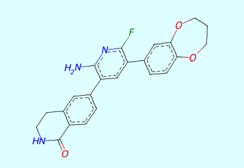 Nc1nc(F)c(-c2ccc3c(c2)OCCCO3)cc1-c1ccc2c(c1)CCNC2=O